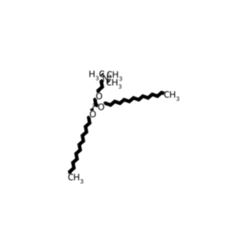 CCCCCCCCCCCCCCOC[C@H](COCCC[N+](C)(C)C)OCCCCCCCCCCCCCC